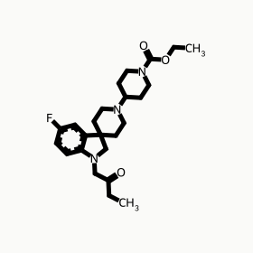 CCOC(=O)N1CCC(N2CCC3(CC2)CN(CC(=O)CC)c2ccc(F)cc23)CC1